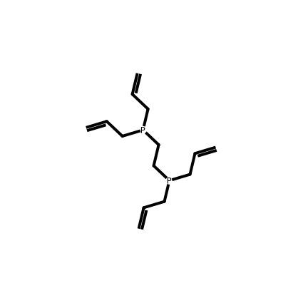 C=CCP(CC=C)CCP(CC=C)CC=C